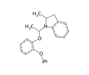 CC(C)Oc1ccccc1OC(C)N1c2ccccc2CC1C